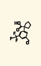 O=Cc1cc(C(F)(F)F)cc(C2(C(=O)O)CCCC2)c1